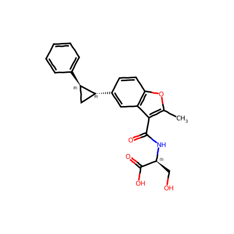 Cc1oc2ccc([C@@H]3C[C@H]3c3ccccc3)cc2c1C(=O)N[C@@H](CO)C(=O)O